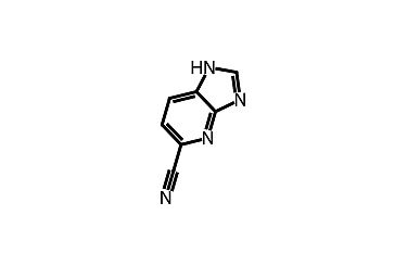 N#Cc1ccc2[nH]cnc2n1